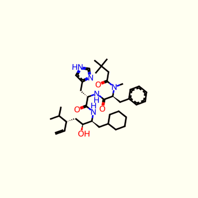 C=C[C@@H](C[C@H](O)[C@H](CC1CCCCC1)NC(=O)[C@H](Cc1c[nH]cn1)NC(=O)[C@H](Cc1ccccc1)N(C)C(=O)CC(C)(C)C)C(C)C